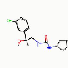 CO[C@@](C)(CNC(=O)NC1CCCC1)c1cccc(Cl)c1